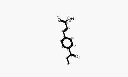 CCC(=O)c1ccc(/C=C/C(=O)O)cc1